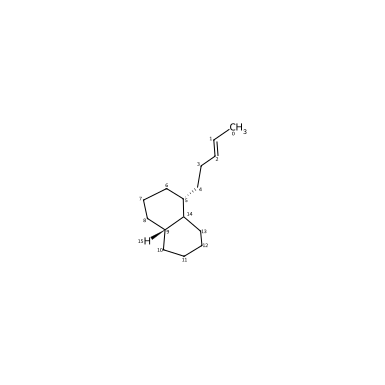 CC=CCC[C@H]1CCC[C@H]2CCCCC21